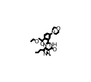 CCCc1nn(C)c2c(=O)[nH]c(-c3cc(N4CCOCC4)ccc3C(=O)COCC)nc12